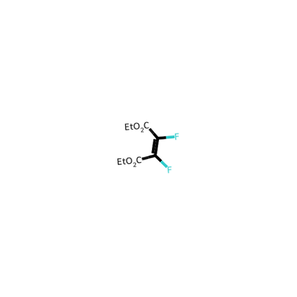 CCOC(=O)/C(F)=C(/F)C(=O)OCC